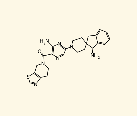 Nc1nc(N2CCC3(CC2)Cc2ccccc2[C@H]3N)cnc1C(=O)N1CCc2ncsc2C1